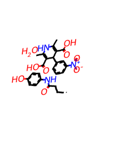 CC1=C(C(=O)O)C(c2cccc([N+](=O)[O-])c2)C(C(=O)O)=C(C)N1.O.[CH2]CCC(=O)Nc1ccc(O)cc1